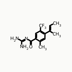 CC=C(C)c1cc(C)c(C(=O)N=C(N)N)cc1C(F)(F)F